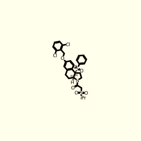 CC(C)S(=O)(=O)CC(=O)N1CC[C@@]2(S(=O)(=O)c3ccccc3)c3ccc(OCc4c(Cl)cccc4Cl)cc3CC[C@@H]12